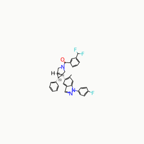 Cc1cc2c(cnn2-c2ccc(F)cc2)cc1[C@@]12CN(C(=O)c3cccc(C(F)F)c3)C[C@@H]1[C@H]2c1ccccc1